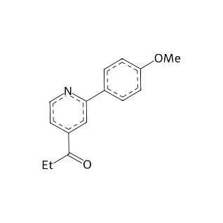 CCC(=O)c1ccnc(-c2ccc(OC)cc2)c1